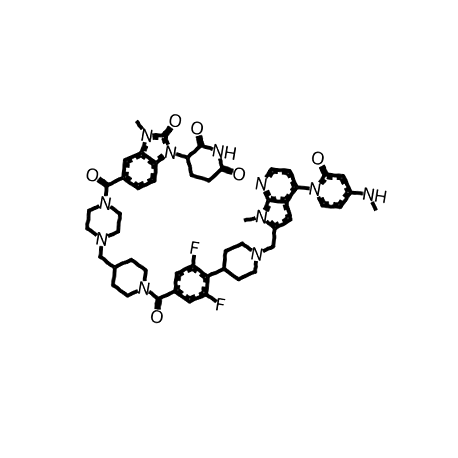 CNc1ccn(-c2ccnc3c2cc(CN2CCC(c4c(F)cc(C(=O)N5CCC(CN6CCN(C(=O)c7ccc8c(c7)n(C)c(=O)n8C7CCC(=O)NC7=O)CC6)CC5)cc4F)CC2)n3C)c(=O)c1